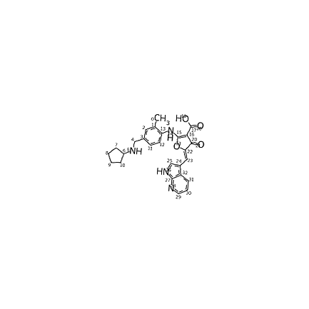 Cc1cc(CNC2CCCC2)ccc1NC1=C(C(=O)O)C(=O)/C(=C/c2c[nH]c3ncccc23)O1